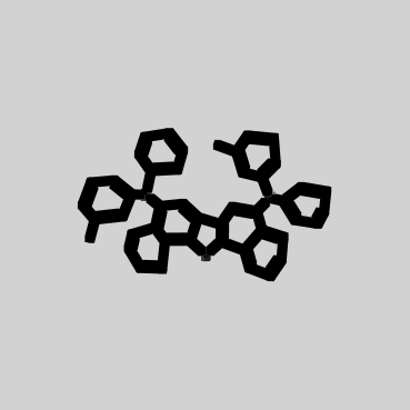 Cc1cccc(N(c2ccccc2)c2cc3c4cc(N(c5ccccc5)c5cccc(C)c5)c5ccccc5c4sc3c3ccccc23)c1